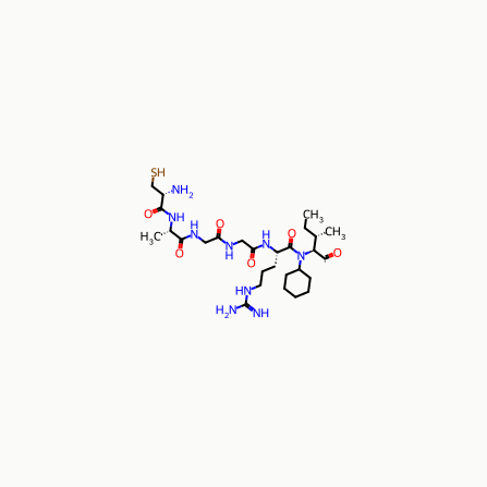 CC[C@H](C)[C@@H]([C]=O)N(C(=O)[C@H](CCCNC(=N)N)NC(=O)CNC(=O)CNC(=O)[C@H](C)NC(=O)[C@@H](N)CS)C1CCCCC1